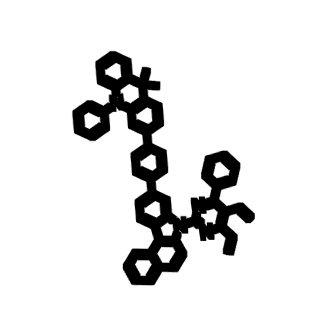 C=Cc1nc(-n2c3cc(-c4ccc(-c5ccc6c(c5)N(c5ccccc5)c5ccccc5C6(C)C)cc4)ccc3c3c4ccccc4ccc32)nc(-c2ccccc2)c1C=C